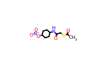 CC(=O)SCC(=O)NC1CCC(O[N+](=O)[O-])CC1